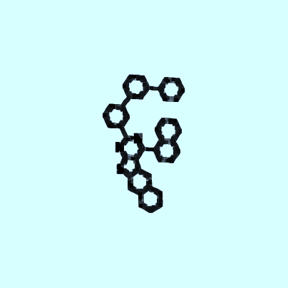 c1ccc(-c2cccc(-c3cccc(-c4nc(-c5cccc6ccccc56)c5c(n4)sc4cc6ccccc6cc45)c3)c2)cc1